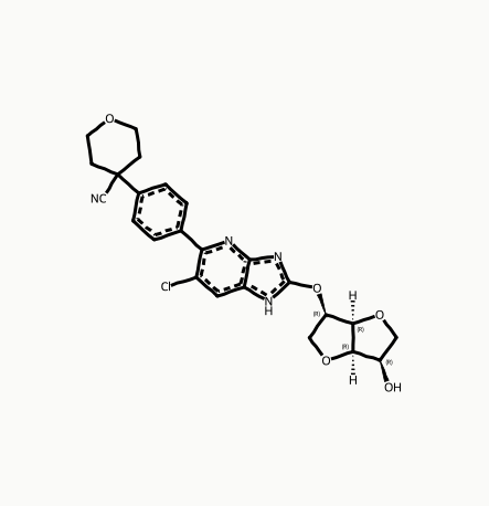 N#CC1(c2ccc(-c3nc4nc(O[C@@H]5CO[C@H]6[C@@H]5OC[C@H]6O)[nH]c4cc3Cl)cc2)CCOCC1